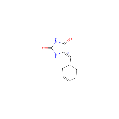 O=C1NC(=O)/C(=C/C2CC=CCC2)N1